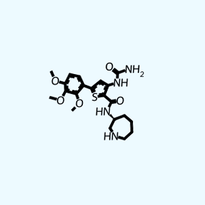 COc1ccc(-c2cc(NC(N)=O)c(C(=O)N[C@H]3CCCCNC3)s2)c(OC)c1OC